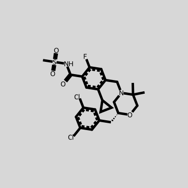 CC1(C)CO[C@H](Cc2cc(Cl)cc(Cl)c2)CN1Cc1cc(F)c(C(=O)NS(C)(=O)=O)cc1C1CC1